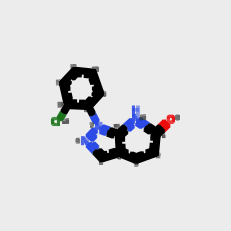 O=c1ccc2cnn(-c3ccccc3Cl)c2[nH]1